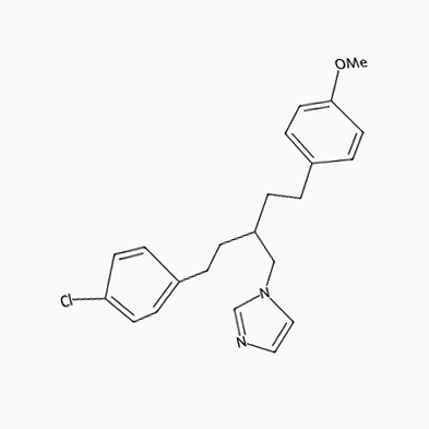 COc1ccc(CCC(CCc2ccc(Cl)cc2)Cn2ccnc2)cc1